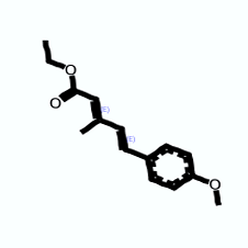 CCOC(=O)/C=C(C)/C=C/c1ccc(OC)cc1